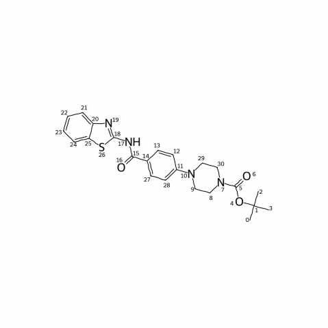 CC(C)(C)OC(=O)N1CCN(c2ccc(C(=O)Nc3nc4ccccc4s3)cc2)CC1